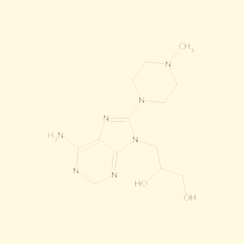 CN1CCN(c2nc3c(N)ncnc3n2CC(O)CO)CC1